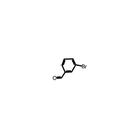 O=Cc1[c]ccc(Br)c1